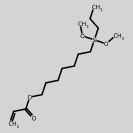 C=CC(=O)OCCCCCCC[Si](CCC)(OC)OC